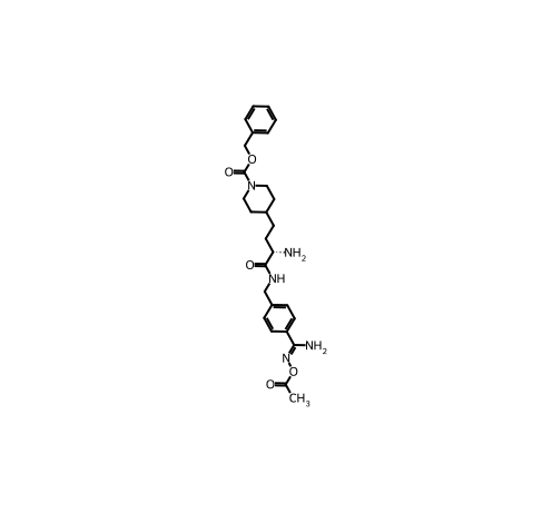 CC(=O)O/N=C(\N)c1ccc(CNC(=O)[C@@H](N)CCC2CCN(C(=O)OCc3ccccc3)CC2)cc1